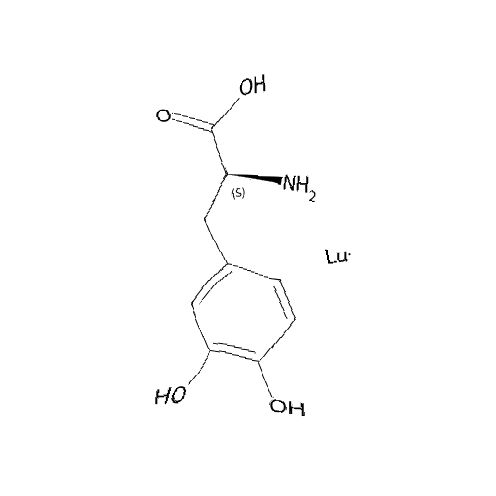 N[C@@H](Cc1ccc(O)c(O)c1)C(=O)O.[Lu]